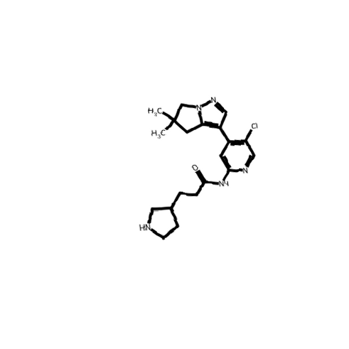 CC1(C)Cc2c(-c3cc(NC(=O)CCC4CCNC4)ncc3Cl)cnn2C1